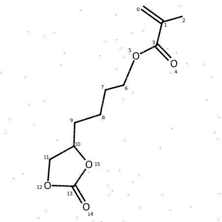 C=C(C)C(=O)OCCCCC1COC(=O)O1